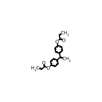 C=CC(=O)Oc1ccc(C(=C)c2ccc(OC(=O)C=C)cc2)cc1